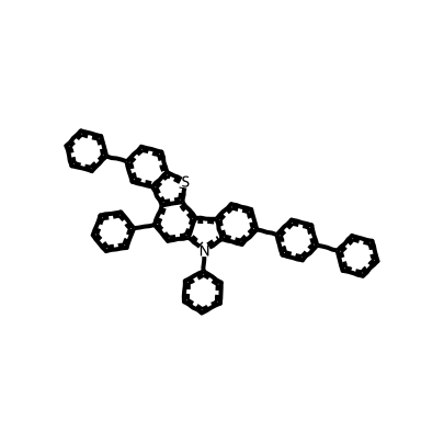 c1ccc(-c2ccc(-c3ccc4c5c6sc7ccc(-c8ccccc8)cc7c6c(-c6ccccc6)cc5n(-c5ccccc5)c4c3)cc2)cc1